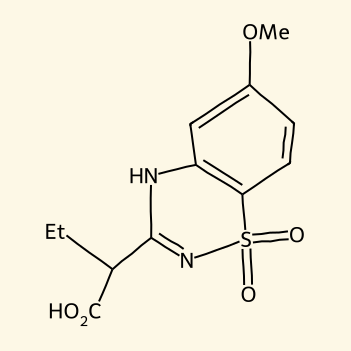 CCC(C(=O)O)C1=NS(=O)(=O)c2ccc(OC)cc2N1